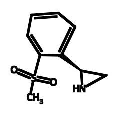 CS(=O)(=O)c1ccccc1[C@H]1CN1